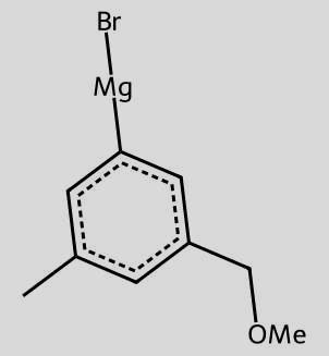 COCc1cc(C)c[c]([Mg][Br])c1